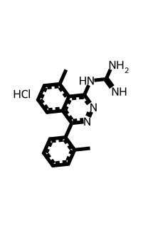 Cc1ccccc1-c1nnc(NC(=N)N)c2c(C)cccc12.Cl